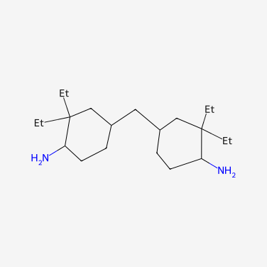 CCC1(CC)CC(CC2CCC(N)C(CC)(CC)C2)CCC1N